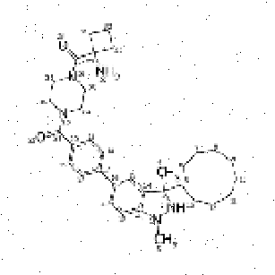 CN1NC(C)(C2CCCCCCCC2)c2cc(-c3ccc(C(=O)N4CCN(C(=O)C5(N)CCC5)CC4)cc3)ccc21